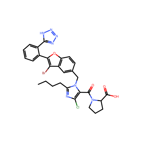 CCCCc1nc(Cl)c(C(=O)N2CCCC2C(=O)O)n1Cc1ccc2oc(-c3ccccc3-c3nnn[nH]3)c(Br)c2c1